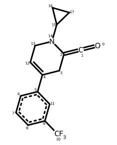 O=C=C1CC(c2cccc(C(F)(F)F)c2)=CCN1C1CC1